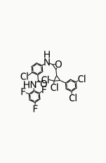 O=C(Nc1c(F)cc(F)cc1F)c1cc(NC2OC2C2C(c3cc(Cl)cc(Cl)c3)C2(Cl)Cl)ccc1Cl